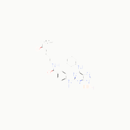 COC(=O)CCCCNC(=O)c1ccc(Nc2nc(NC3CCCCC3)c3ncn(PI)c3n2)cc1